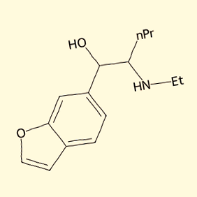 CCCC(NCC)C(O)c1ccc2ccoc2c1